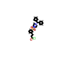 O=C(Cl)/C=C/c1cccc(S(=O)(=O)N2CCN(C(c3ccccc3)c3ccccc3)CC2)c1